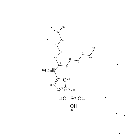 CCCCCCC(CCCCCC)C(=O)c1ccc(CS(=O)(=O)O)o1